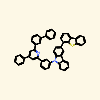 c1ccc(-c2cccc(-c3cc(-c4ccccc4)cc(-c4cccc(-n5c6ccccc6c6cc(-c7cccc8c7sc7ccccc78)ccc65)c4)n3)c2)cc1